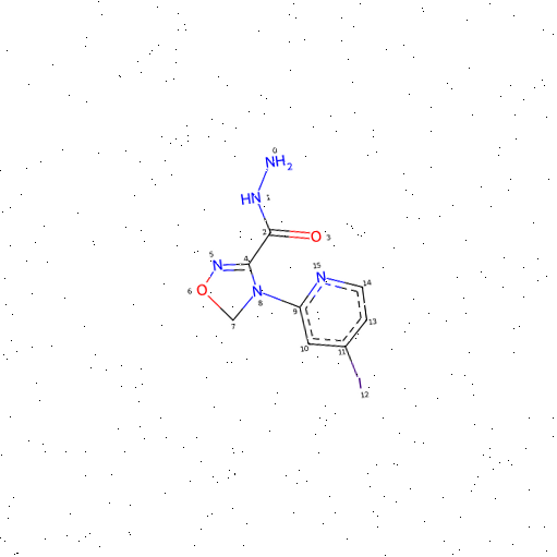 NNC(=O)C1=NOCN1c1cc(I)ccn1